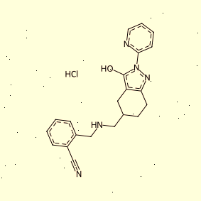 Cl.N#Cc1ccccc1CNCC1CCc2nn(-c3ccccn3)c(O)c2C1